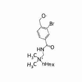 CCCCCC[N+](C)(C)CNC(=O)c1ccc(C[O])c(Br)c1